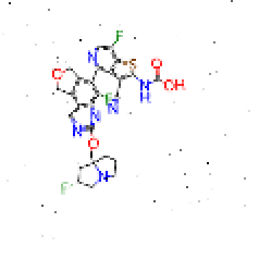 N#Cc1c(NC(=O)O)sc2c(F)cnc(-c3c4c(c5cnc(OC[C@@]67CCCN6C[C@H](F)C7)nc5c3F)COC4)c12